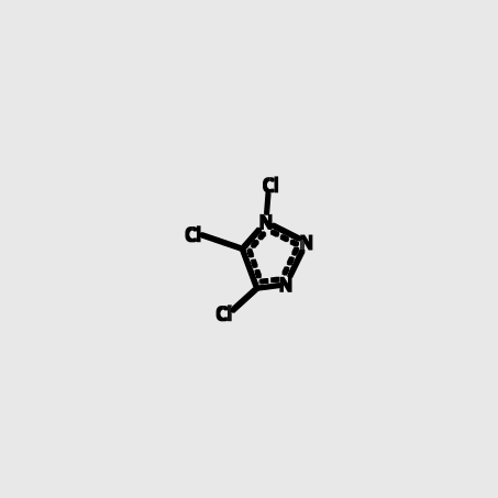 Clc1nnn(Cl)c1Cl